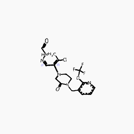 C/C(Cl)=C(\C=N/NC=O)N1CCN(Cc2cccnc2OC(F)(F)F)C(=O)C1